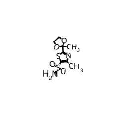 Cc1nc(C2(C)OCCO2)sc1S(N)(=O)=O